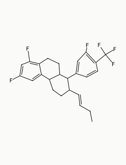 CCC=CC1CCC2c3cc(F)cc(F)c3CCC2C1c1ccc(C(F)(F)F)c(F)c1